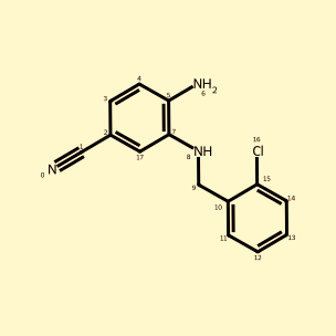 N#Cc1ccc(N)c(NCc2ccccc2Cl)c1